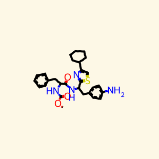 COC(=O)NC(Cc1ccccc1)C(=O)NC(Cc1ccc(N)cc1)c1nc(C2CCCCC2)cs1